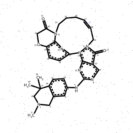 CN1Cc2cc(Nc3ncc4c(=O)n5n(c4n3)-c3ccc4c(n3)N(CCC/C=C\C5)C(=O)CO4)ccc2C(C)(C)C1